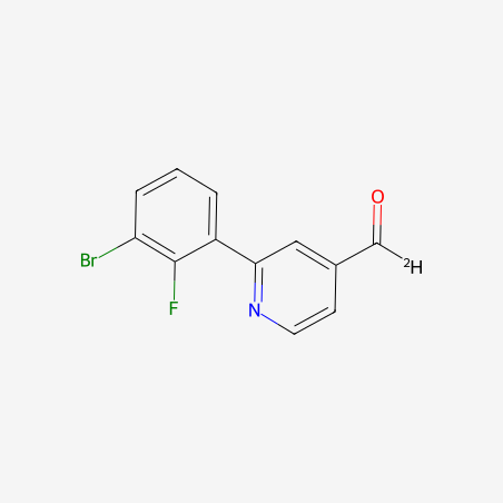 [2H]C(=O)c1ccnc(-c2cccc(Br)c2F)c1